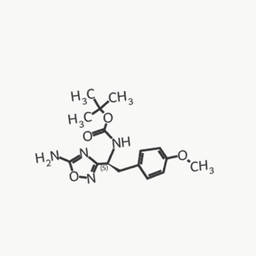 COc1ccc(C[C@H](NC(=O)OC(C)(C)C)c2noc(N)n2)cc1